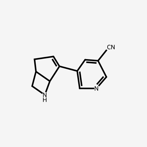 N#Cc1cncc(C2=CCC3CNC23)c1